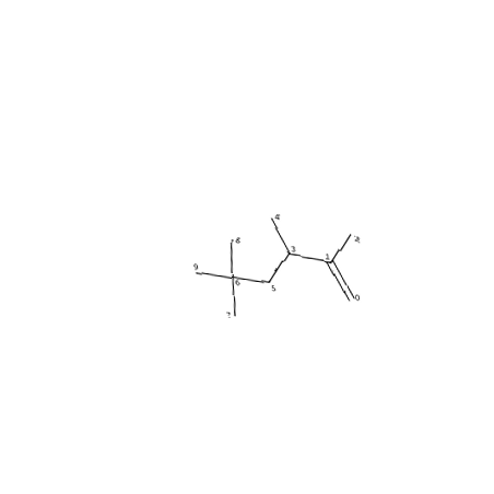 C=C(C)C(C)CC(C)(C)C